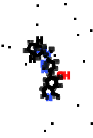 Cc1nccc2cc(-c3ccc(N(C)C4C[C@H]5CC[C@@H](C4)N5)nn3)c(O)cc12